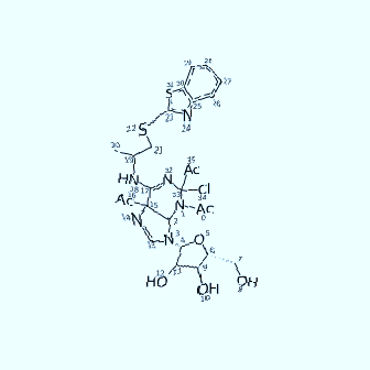 CC(=O)N1C2N([C@@H]3O[C@H](CO)C(O)C3O)C=NC2(C(C)=O)C(NC(C)CSc2nc3ccccc3s2)=NC1(Cl)C(C)=O